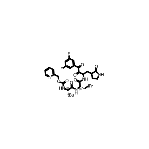 CC(C)C[C@H](NC(=O)[C@@H](NC(=O)OCc1ccccn1)C(C)(C)C)C(=O)NC(CC1CCNC1=O)C(=O)C(=O)c1cc(F)cc(F)c1